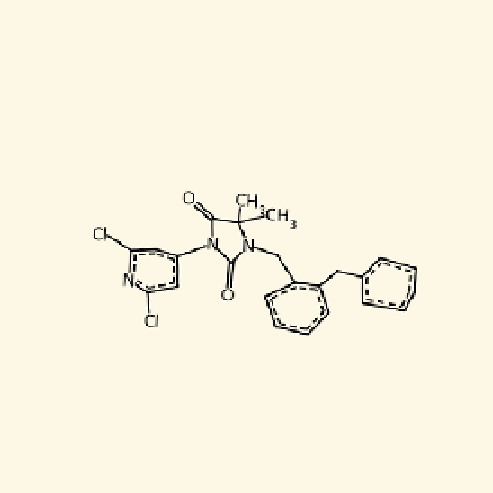 CC1(C)C(=O)N(c2cc(Cl)nc(Cl)c2)C(=O)N1Cc1ccccc1Cc1ccccc1